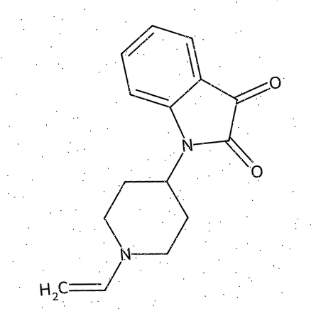 C=CN1CCC(N2C(=O)C(=O)c3ccccc32)CC1